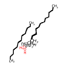 C.C.CCCCCCCCCCCC.CCCCCCCCCCCC.O=S(=O)(O)O.O=S(=O)(O)O